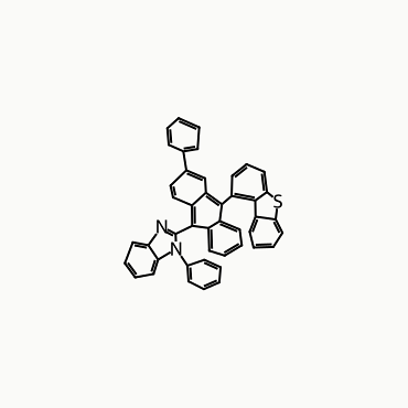 c1ccc(-c2ccc3c(-c4nc5ccccc5n4-c4ccccc4)c4ccccc4c(-c4cccc5sc6ccccc6c45)c3c2)cc1